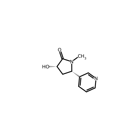 CN1C(=O)[C@@H](O)C[C@H]1c1cccnc1